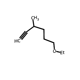 C#CC(C)CCCOC[CH2]